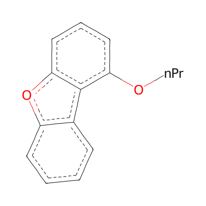 CCCOc1cccc2oc3ccccc3c12